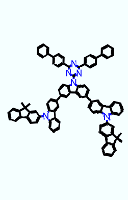 CC1(C)c2ccccc2-c2ccc(-n3c4ccccc4c4cc(-c5ccc6c(c5)c5cc(-c7ccc8c(c7)c7ccccc7n8-c7ccc8c(c7)C(C)(C)c7ccccc7-8)ccc5n6-c5nc(-c6ccc(-c7ccccc7)cc6)nc(-c6ccc(-c7ccccc7)cc6)n5)ccc43)cc21